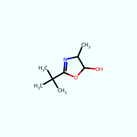 CC1N=C(C(C)(C)C)OC1O